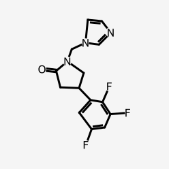 O=C1CC(c2cc(F)cc(F)c2F)CN1Cn1ccnc1